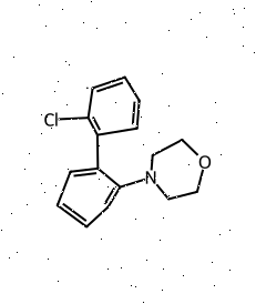 Clc1[c]cccc1-c1ccccc1N1CCOCC1